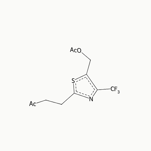 CC(=O)CCc1nc(C(F)(F)F)c(COC(C)=O)s1